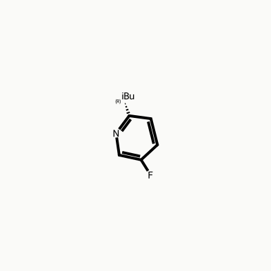 CC[C@@H](C)c1ccc(F)cn1